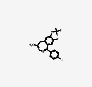 CC1=NN=C(c2ccc(Cl)cc2)c2cc(Cl)c(OC(F)(F)F)cc2C1